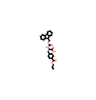 C=CCOC(=O)c1ccc(C[C@@H](NC(=O)OCC2c3ccccc3-c3ccccc32)C(=O)O)cc1